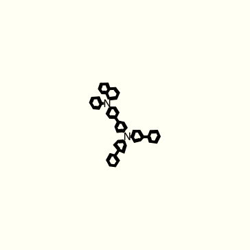 C1=CC(c2ccc(N(c3ccc(-c4ccccc4)cc3)c3ccc(-c4ccc(N(c5ccccc5)c5cccc6ccccc56)cc4)cc3)cc2)=CCC1